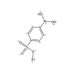 CCOS(=O)(=O)c1ccc(N(O)O)cc1